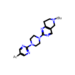 CC(=O)c1cnc(N2CCN(c3ncc4c(n3)CCN(C(C)(C)C)C4)CC2)nc1